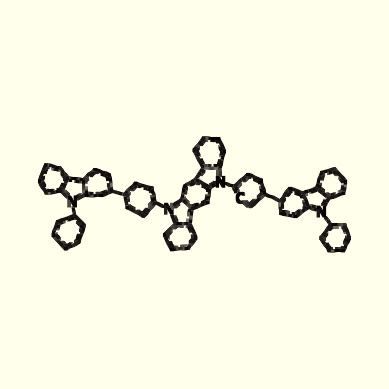 c1ccc(-n2c3ccccc3c3cc(-c4ccc(-n5c6ccccc6c6cc7c(cc65)c5ccccc5n7-c5ccc(-c6ccc7c8ccccc8n(-c8ccccc8)c7c6)cc5)cc4)ccc32)cc1